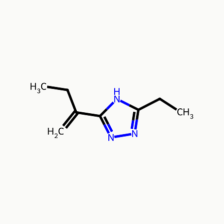 C=C(CC)c1nnc(CC)[nH]1